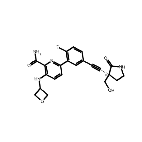 NC(=O)c1nc(-c2cc(C#C[C@@]3(CO)CCNC3=O)ccc2F)ccc1NC1COC1